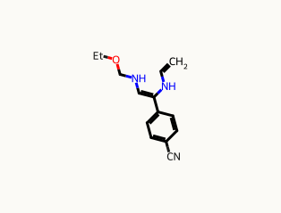 C=CN/C(=C\NCOCC)c1ccc(C#N)cc1